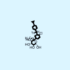 [2H]C([2H])(c1ccc(C2CC2)cc1)c1cc([C@]2(OC)O[C@H](CO)[C@@H](O)[C@H](O)[C@H]2O)ccc1Cl